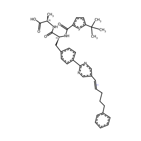 C[C@@H](NC(=O)[C@H](Cc1ccc(-c2ncc(/C=C/CCCc3ccccc3)cn2)cc1)NC(=O)c1ccc(C(C)(C)C)s1)C(=O)O